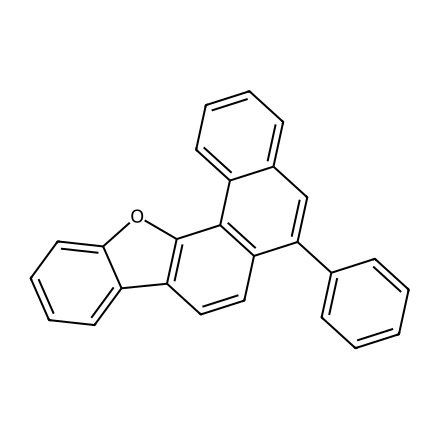 c1ccc(-c2cc3ccccc3c3c2ccc2c4ccccc4oc23)cc1